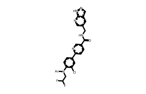 CC(=O)N(CC(F)F)c1ccc(-c2ccc(C(=O)NCc3cnc4[nH]ncc4c3)cn2)cc1Cl